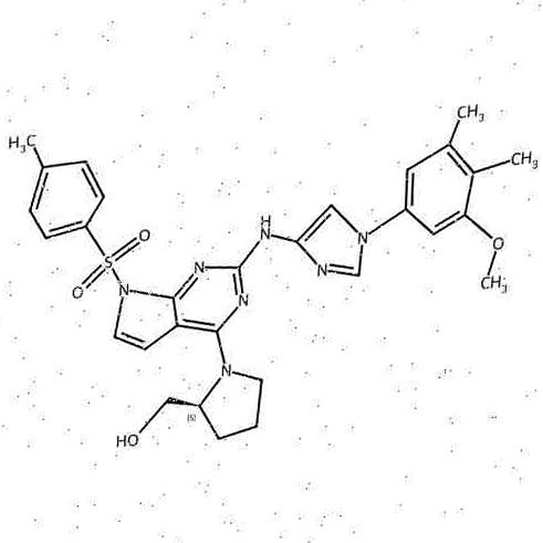 COc1cc(-n2cnc(Nc3nc(N4CCC[C@H]4CO)c4ccn(S(=O)(=O)c5ccc(C)cc5)c4n3)c2)cc(C)c1C